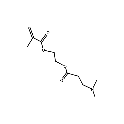 C=C(C)C(=O)OCCOC(=O)CCN(C)C